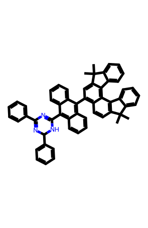 CC1(C)c2ccccc2-c2c1ccc1c(-c3c4ccccc4c(C4=NC(c5ccccc5)=NC(c5ccccc5)N4)c4ccccc34)cc3c(c21)-c1ccccc1C3(C)C